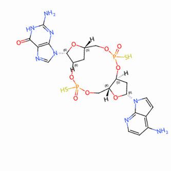 Nc1nc2c(ncn2[C@@H]2O[C@@H]3COP(=O)(S)O[C@H]4C[C@H](n5ccc6c(N)ccnc65)O[C@@H]4COP(=O)(S)O[C@@H]2C3)c(=O)[nH]1